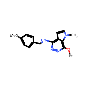 CCOc1nnc(NCc2ccc(OC)cc2)c2ccn(C)c12